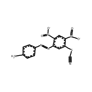 N#CSc1cc(N=Nc2ccc(N)cc2)c([N+](=O)[O-])cc1[N+](=O)[O-]